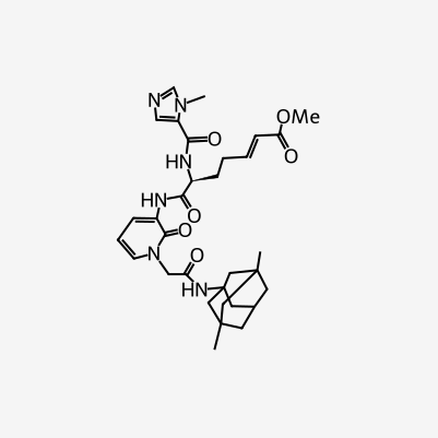 COC(=O)/C=C/CC[C@H](NC(=O)c1cncn1C)C(=O)Nc1cccn(CC(=O)NC23CC4CC(C)(CC(C)(C4)C2)C3)c1=O